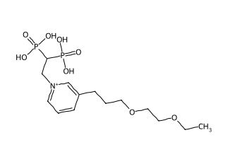 CCOCCOCCCc1ccc[n+](CC(P(=O)(O)O)P(=O)(O)O)c1